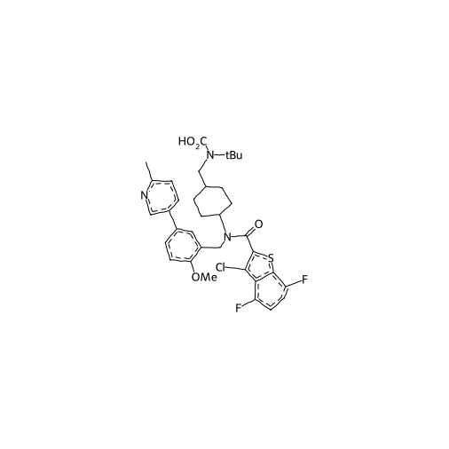 COc1ccc(-c2ccc(C)nc2)cc1CN(C(=O)c1sc2c(F)ccc(F)c2c1Cl)C1CCC(CN(C(=O)O)C(C)(C)C)CC1